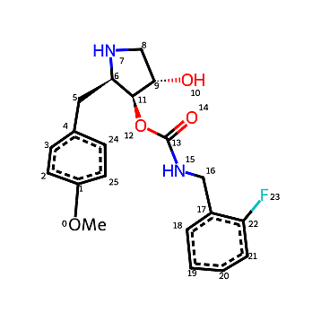 COc1ccc(C[C@H]2NC[C@H](O)[C@H]2OC(=O)NCc2ccccc2F)cc1